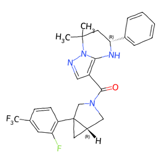 CC1(C)C[C@H](c2ccccc2)Nc2c(C(=O)N3C[C@@H]4CC4(c4ccc(C(F)(F)F)cc4F)C3)cnn21